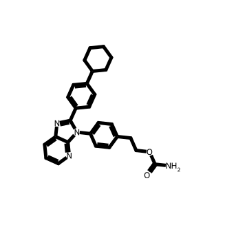 NC(=O)OCCc1ccc(-n2c(-c3ccc(C4CCCCC4)cc3)nc3cccnc32)cc1